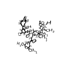 CN1CCCC1=O.CS(=O)(=O)O.C[C@@H]1CN(C(=O)CN2CC(C)(C)OC[C@H]2C(=O)Nc2cc(Cl)cc3c2[nH]c2cnccc23)C[C@H](C)O1